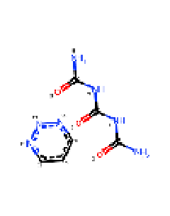 NC(=O)NC(=O)NC(N)=O.c1cnnnc1